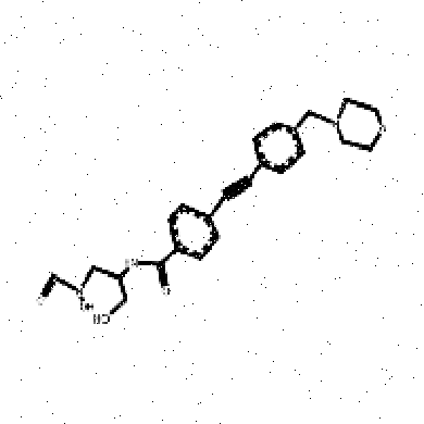 O=CN(O)CC(CO)NC(=O)c1ccc(C#Cc2ccc(CN3CCOCC3)cc2)cc1